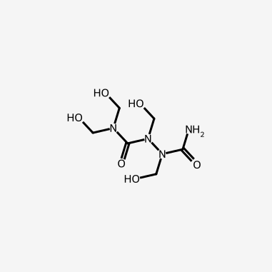 NC(=O)N(CO)N(CO)C(=O)N(CO)CO